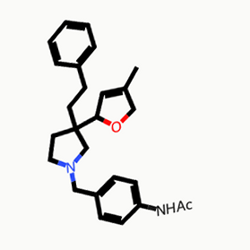 CC(=O)Nc1ccc(CN2CCC(CCc3ccccc3)(C3C=C(C)CO3)C2)cc1